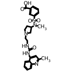 Cc1cc(NC(=O)NCCN2CCC(N(C)S(=O)(=O)c3cccc(C(=O)O)c3)C2)c2ccccc2n1